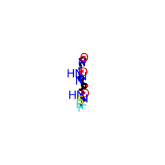 CC(C(=O)Nc1ncc(C(F)(F)F)s1)c1cccc(-c2cnc(NC(=O)/C=C/CN3CCOCC3)cn2)c1